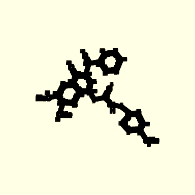 COc1ccc(CNC(=O)Cn2cc(C(=O)c3ccccc3)c(=O)c3cc(OC)c(OC)cc32)cc1